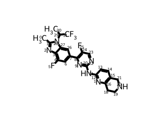 Cc1nc2c(F)cc(-c3nc(Nc4ccc5c(n4)CCNC5)ncc3F)cc2n1C(C)C(F)(F)F